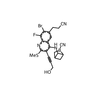 CSc1nc2c(F)c(Br)c(CCC#N)cc2c(NC2C3CB(C#N)C2C3)c1C#CCO